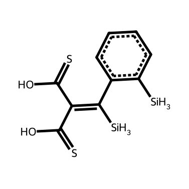 OC(=S)C(C(O)=S)=C([SiH3])c1ccccc1[SiH3]